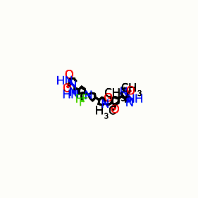 COc1cc(-c2cn(C)c(=O)c3[nH]ncc23)cc(OC)c1CN1CCC(C2CCN(c3ccc4c(N5CCC(=O)NC5=O)n[nH]c4c3C(F)(F)F)CC2)CC1